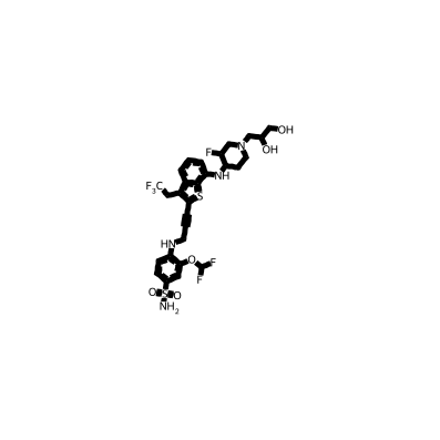 NS(=O)(=O)c1ccc(NCC#Cc2sc3c(NC4CCN(CC(O)CO)CC4F)cccc3c2CC(F)(F)F)c(OC(F)F)c1